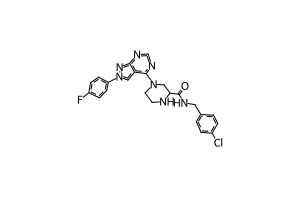 O=C(NCc1ccc(Cl)cc1)C1CN(c2ncnc3nn(-c4ccc(F)cc4)cc23)CCN1